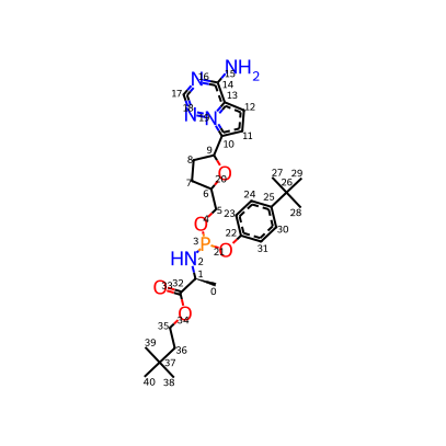 C[C@H](NP(OCC1CCC(c2ccc3c(N)ncnn23)O1)Oc1ccc(C(C)(C)C)cc1)C(=O)OCCC(C)(C)C